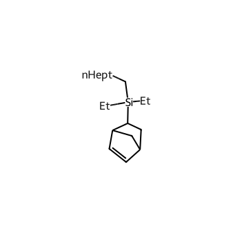 CCCCCCCC[Si](CC)(CC)C1CC2C=CC1C2